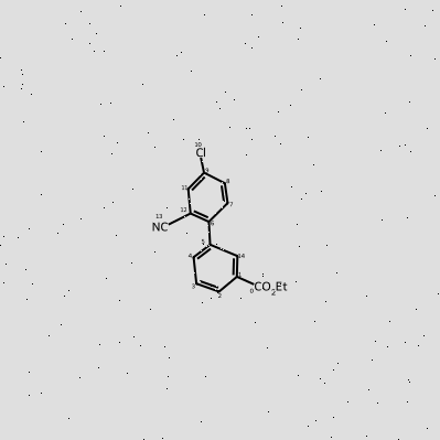 CCOC(=O)c1cccc(-c2ccc(Cl)cc2C#N)c1